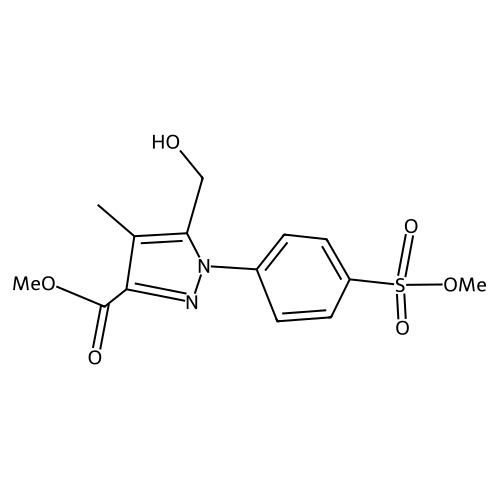 COC(=O)c1nn(-c2ccc(S(=O)(=O)OC)cc2)c(CO)c1C